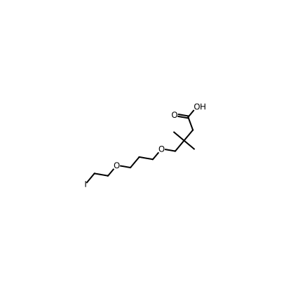 CC(C)(COCCCOCCI)CC(=O)O